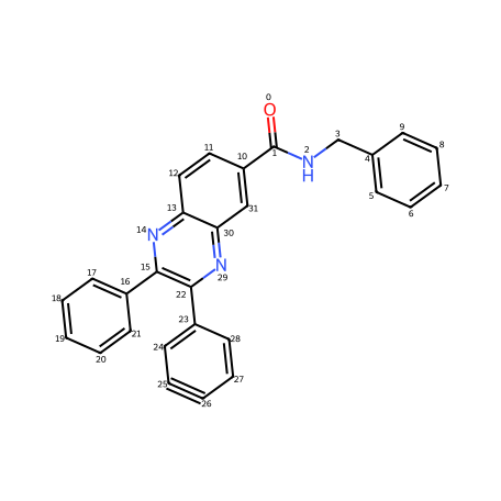 O=C(NCc1ccccc1)c1ccc2nc(-c3ccccc3)c(-c3cc#ccc3)nc2c1